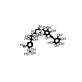 CCOc1cc(C(O)(O)C(O)(O)NC(=O)CC(C(C)=O)[S+]([O-])C(C)c2c(O)c(O)c(C#Cc3c(O)c(O)c(O)c(O)c3O)c(O)c2O)ccc1OC(O)(O)O